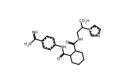 N=C(N)c1ccc(NC(=O)C2CCCCC2C(=O)NCC(C(=O)O)n2ccnc2)cc1